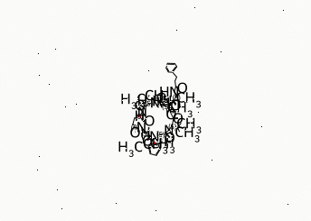 CC(C)C[C@H]1C(=O)N(C)[C@@H](Cc2ccccc2)C(=O)N[C@@H](C(C)C)C(=O)O[C@H](C)[C@H](NC(=O)[C@H](C)NC(=O)CCc2ccccc2)C(=O)N[C@@H](C(C)C)C(=O)N[C@H]2CC[C@@H](O)N1C2=O